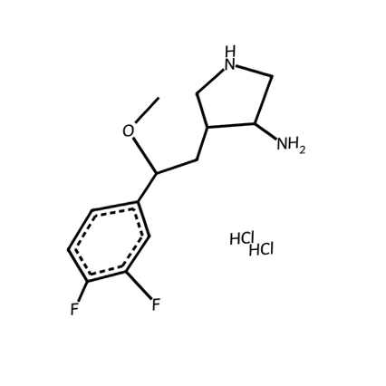 COC(CC1CNCC1N)c1ccc(F)c(F)c1.Cl.Cl